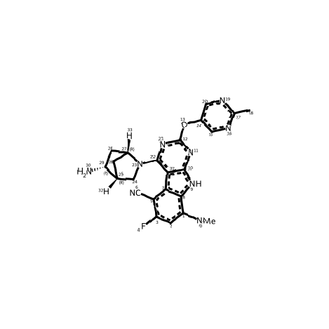 CNc1cc(F)c(C#N)c2c1[nH]c1nc(Oc3cnc(C)nc3)nc(N3C[C@H]4C[C@@H]3C[C@H]4N)c12